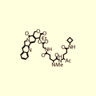 CC[C@@]1(OC(=O)CNC(=O)CCC(NC)C(=O)NC(CCC(=O)NC2CCC2)C(C)=O)C(=O)OCc2c1cc1n(c2=O)Cc2cc3ccccc3nc2-1